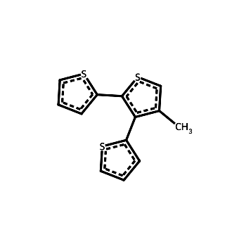 Cc1csc(-c2cccs2)c1-c1cccs1